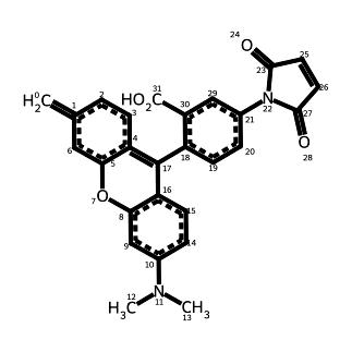 C=c1ccc2c(c1)Oc1cc(N(C)C)ccc1C=2c1ccc(N2C(=O)C=CC2=O)cc1C(=O)O